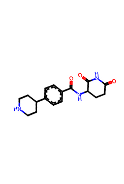 O=C1CCC(NC(=O)c2ccc(C3CCNCC3)cc2)C(=O)N1